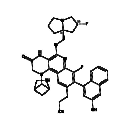 N#CCCc1cc2c3c(c(OC[C@@]45CCCN4C[C@H](F)C5)nc2c(F)c1-c1cc(O)cc2ccccc12)NC(=O)CN3C1C2CNC1C2